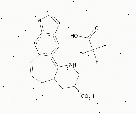 O=C(O)C(F)(F)F.O=C(O)C1CNC2=c3cc4c(cc3C=CCC2C1)=NC=C4